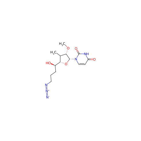 CO[C@H]1C(C)[C@@H]([C@H](O)CCCN=[N+]=[N-])O[C@H]1n1ccc(=O)[nH]c1=O